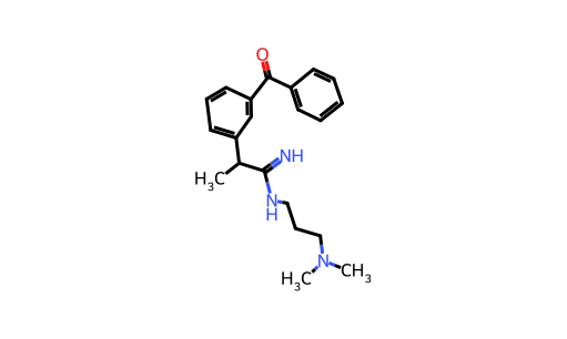 CC(C(=N)NCCCN(C)C)c1cccc(C(=O)c2ccccc2)c1